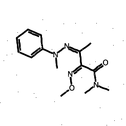 CO/N=C(C(=O)N(C)C)/C(C)=N\N(C)c1ccccc1